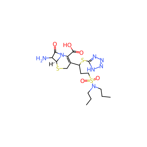 CCCN(CCC)S(=O)(=O)CCC(Sc1nnn[nH]1)C1=C(C(=O)O)N2C(=O)C(N)[C@@H]2SC1